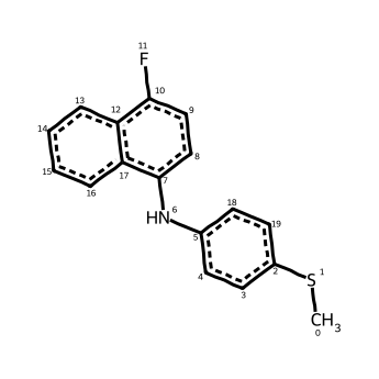 CSc1ccc(Nc2ccc(F)c3ccccc23)cc1